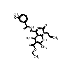 C=CCn1c2c(c(NNC(=O)c3cccc(OC)c3)nc1=O)C(C)C(C(=O)OCC)=C(C)N2